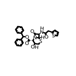 O=C(Cc1cccs1)N[C@@H]1C(=O)N2[C@@H](C(=O)OC(c3ccccc3)c3ccccc3)C(O)CS[C@@H]12